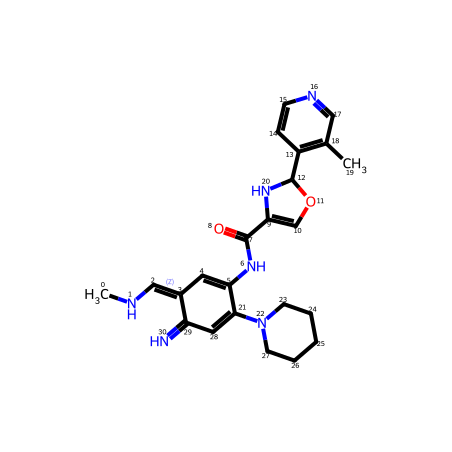 CN/C=C1/C=C(NC(=O)C2=COC(c3ccncc3C)N2)C(N2CCCCC2)=CC1=N